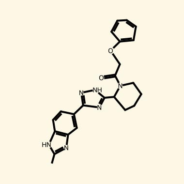 Cc1nc2cc(-c3n[nH]c(C4CCCCN4C(=O)COc4ccccc4)n3)ccc2[nH]1